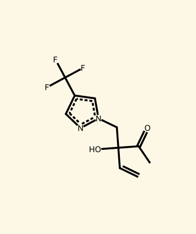 C=CC(O)(Cn1cc(C(F)(F)F)cn1)C(C)=O